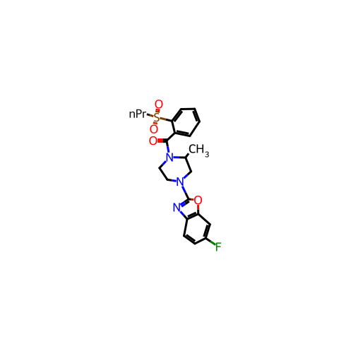 CCCS(=O)(=O)c1ccccc1C(=O)N1CCN(c2nc3ccc(F)cc3o2)CC1C